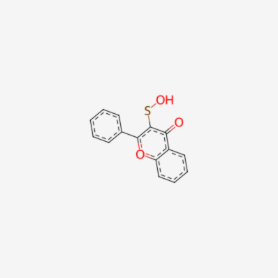 O=c1c(SO)c(-c2ccccc2)oc2ccccc12